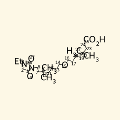 CCN1CC(=O)N(CCC(C)(C)CCCCOCCCCC(C)(C)CCC(=O)O)C1=O